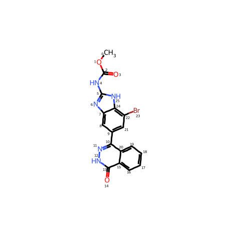 COC(=O)Nc1nc2cc(-c3n[nH]c(=O)c4ccccc34)cc(Br)c2[nH]1